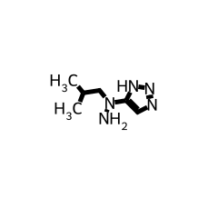 CC(C)CN(N)c1cnn[nH]1